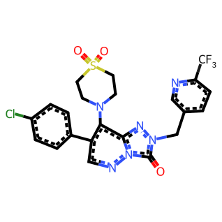 O=c1n(Cc2ccc(C(F)(F)F)nc2)nc2c(N3CCS(=O)(=O)CC3)c(-c3ccc(Cl)cc3)cnn12